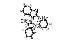 Nc1nc2ccccc2n1-c1c(Cl)c2ccccc2n1-c1ccccc1